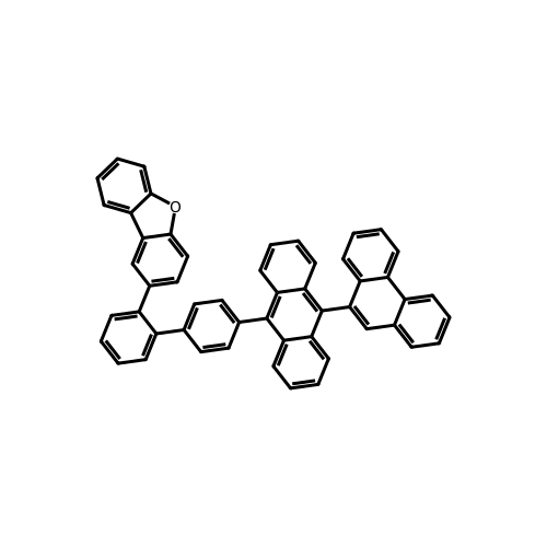 c1ccc(-c2ccc3oc4ccccc4c3c2)c(-c2ccc(-c3c4ccccc4c(-c4cc5ccccc5c5ccccc45)c4ccccc34)cc2)c1